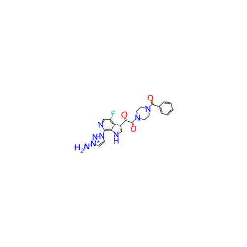 N[n+]1ccn(-c2ncc(F)c3c(C(=O)C(=O)N4CCN(C(=O)c5ccccc5)CC4)c[nH]c23)n1